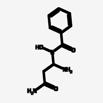 NC(=O)CC(N)N(O)C(=O)c1ccccc1